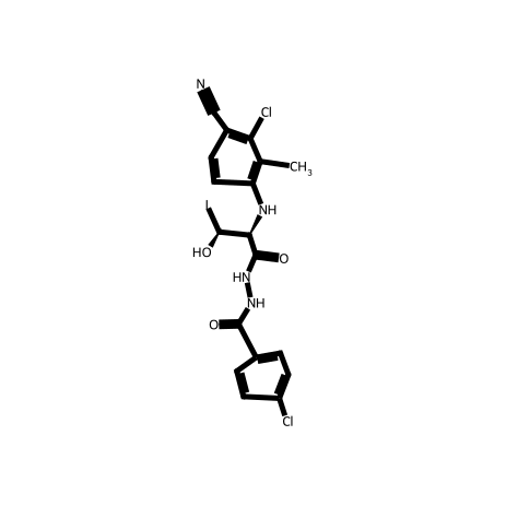 Cc1c(N[C@@H](C(=O)NNC(=O)c2ccc(Cl)cc2)[C@@H](O)I)ccc(C#N)c1Cl